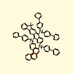 CC1(C)c2ccccc2-c2cc3c(N(c4ccc(-c5ccccc5)cc4)c4ccc(-c5ccccc5)cc4)c4cc(N(c5ccc(-c6ccccc6)cc5)c5ccc(-c6ccccc6)cc5)ccc4c(N(c4ccc(-c5ccccc5)cc4)c4ccc(-c5ccccc5)cc4)c3cc21